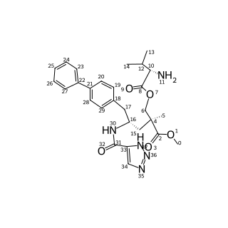 COC(=O)[C@](C)(COC(=O)[C@@H](N)C(C)C)C[C@@H](Cc1ccc(-c2ccccc2)cc1)NC(=O)c1cnn[nH]1